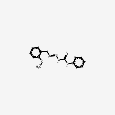 COc1ccccc1CN=NOC(=O)Oc1ccccc1